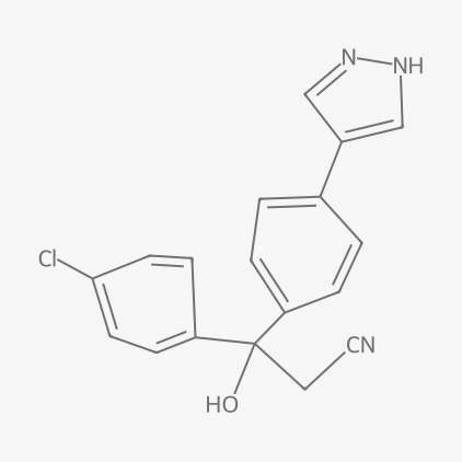 N#CCC(O)(c1ccc(Cl)cc1)c1ccc(-c2cn[nH]c2)cc1